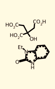 CCn1c(=O)[nH]c2ccccc21.O=C(O)CC(O)(CC(=O)O)C(=O)O